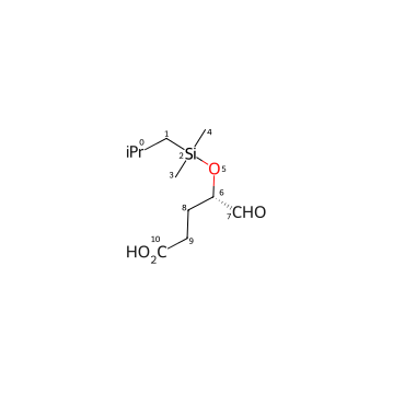 CC(C)C[Si](C)(C)O[C@H](C=O)CCC(=O)O